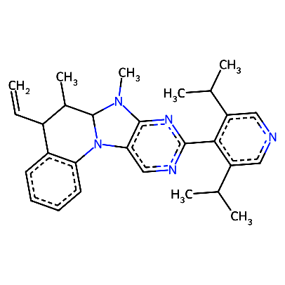 C=CC1c2ccccc2N2c3cnc(-c4c(C(C)C)cncc4C(C)C)nc3N(C)C2C1C